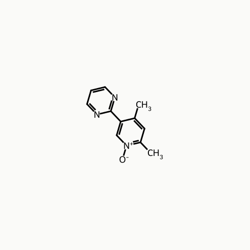 Cc1cc(C)[n+]([O-])cc1-c1ncccn1